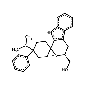 CN(C)C1(c2ccccc2)CCC2(CC1)N[C@H](CO)Cc1c2[nH]c2ccccc12